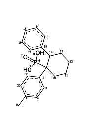 Cc1ccc(C2(P(=O)(O)O)CCCCC2c2ccccc2)cc1